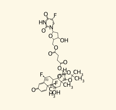 CC1(C)O[C@@H]2CC3C4C[C@H](F)C5=CC(=O)C=CC5(C)[C@@]4(F)[C@@H](O)CC3(C)[C@]2(C(=O)COC(=O)CCC(=O)OCC2OC(n3cc(F)c(=O)[nH]c3=O)CC2O)O1